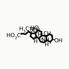 C[C@H](CCC(=O)O)[C@@]1(N)CC[C@H]2[C@]3(N)CC[C@@H]4C[C@H](O)CC[C@]4(C)[C@H]3C[C@H](O)[C@@]21C